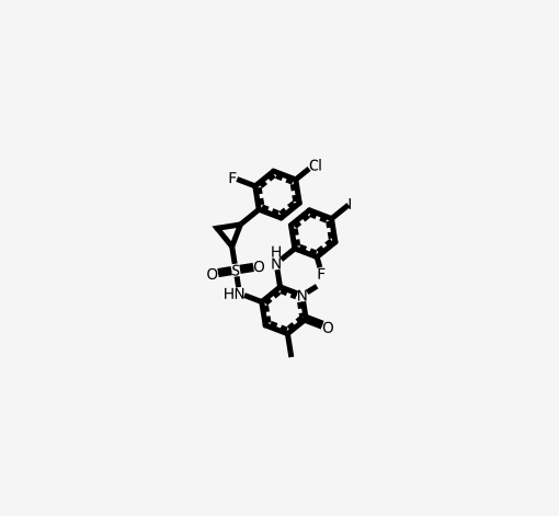 Cc1cc(NS(=O)(=O)C2CC2c2ccc(Cl)cc2F)c(Nc2ccc(I)cc2F)n(C)c1=O